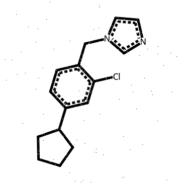 Clc1cc(C2CCCC2)ccc1Cn1ccnc1